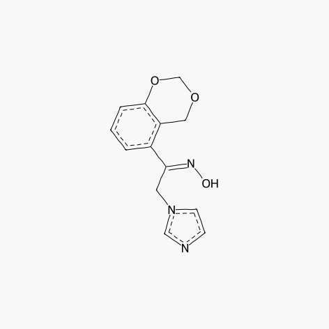 ON=C(Cn1ccnc1)c1cccc2c1COCO2